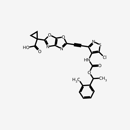 Cc1ccccc1C(C)OC(=O)Nc1c(C#Cc2nc3nc(C4(C(=O)O)CC4)oc3o2)nsc1Cl